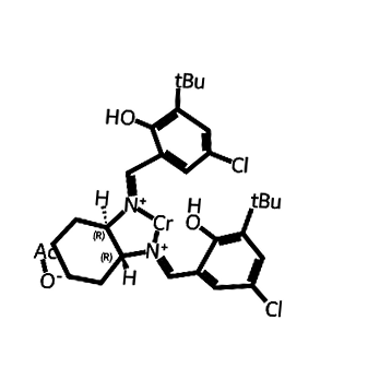 CC(=O)[O-].CC(C)(C)c1cc(Cl)cc(C=[N+]2[Cr][N+](=Cc3cc(Cl)cc(C(C)(C)C)c3O)[C@@H]3CCCC[C@H]32)c1O